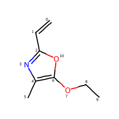 C=Cc1nc(C)c(OCC)o1